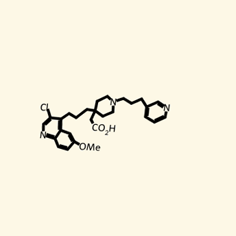 COc1ccc2ncc(Cl)c(CCCC3(CC(=O)O)CCN(CCCc4cccnc4)CC3)c2c1